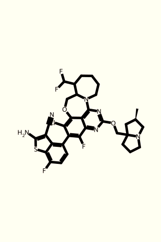 C[C@H]1CN2CCCC2(COc2nc3c4c(c(Cl)c(-c5ccc(F)c6sc(N)c(C#N)c56)c(F)c4n2)OCC2C(C(F)F)CCCCN32)C1